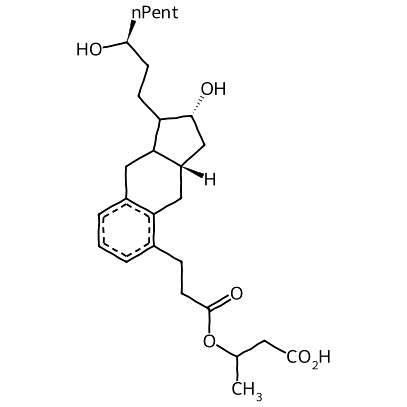 CCCCC[C@H](O)CCC1C2Cc3cccc(CCC(=O)OC(C)CC(=O)O)c3C[C@H]2C[C@H]1O